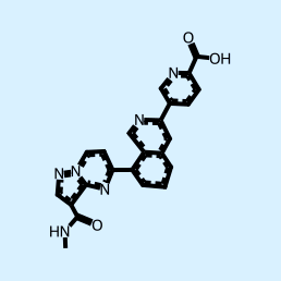 CNC(=O)c1cnn2ccc(-c3cccc4cc(-c5ccc(C(=O)O)nc5)ncc34)nc12